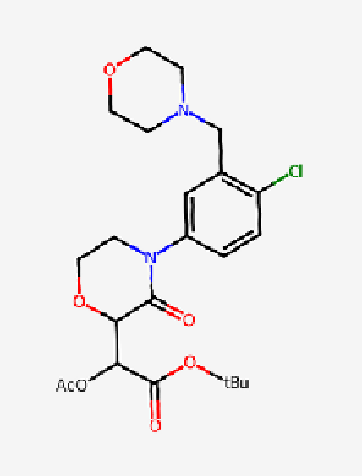 CC(=O)OC(C(=O)OC(C)(C)C)C1OCCN(c2ccc(Cl)c(CN3CCOCC3)c2)C1=O